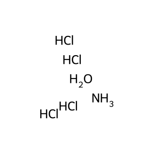 Cl.Cl.Cl.Cl.N.O